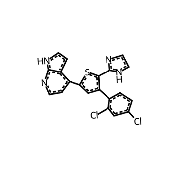 Clc1ccc(-c2cc(-c3ccnc4[nH]ccc34)sc2-c2ncc[nH]2)c(Cl)c1